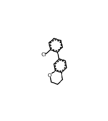 Clc1ccccc1-c1ccc2c(c1)OCCC2